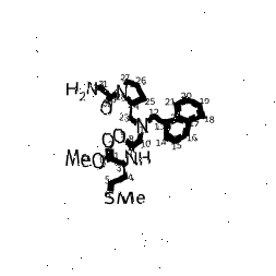 COC(=O)[C@H](CCSC)NC(=O)CN(Cc1cccc2ccccc12)C[C@@H]1CCCN1C(=O)CN